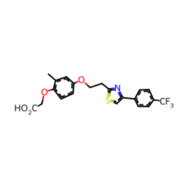 Cc1cc(OCCc2nc(-c3ccc(C(F)(F)F)cc3)cs2)ccc1OCC(=O)O